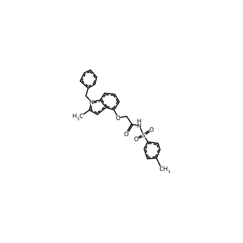 Cc1ccc(S(=O)(=O)NC(=O)COc2cccc3c2cc(C)n3Cc2ccccc2)cc1